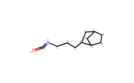 O=C=NCCCC1CC2CCC1C2